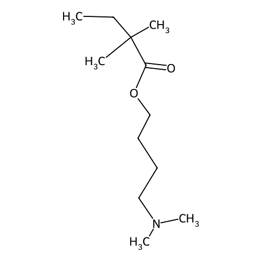 CCC(C)(C)C(=O)OCCCCN(C)C